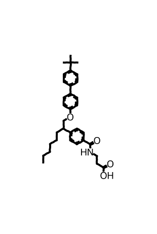 CCCCCCC(COc1ccc(-c2ccc(C(C)(C)C)cc2)cc1)c1ccc(C(=O)NCCC(=O)O)cc1